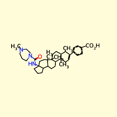 CC1C(c2ccc(C(=O)O)cc2)=CCC2(C)C1CCC1(C)C2CCC2C3CCC[C@]3(NC(=O)N3CCCN(C)CC3)CC[C@]21C